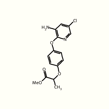 COC(=O)C(C)Oc1ccc(Oc2ncc(Cl)cc2N)cc1